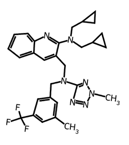 Cc1cc(CN(Cc2cc3ccccc3nc2N(CC2CC2)CC2CC2)c2nnn(C)n2)cc(C(F)(F)F)c1